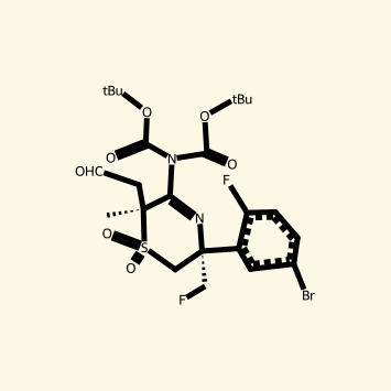 CC(C)(C)OC(=O)N(C(=O)OC(C)(C)C)C1=N[C@@](CF)(c2cc(Br)ccc2F)CS(=O)(=O)[C@@]1(C)CC=O